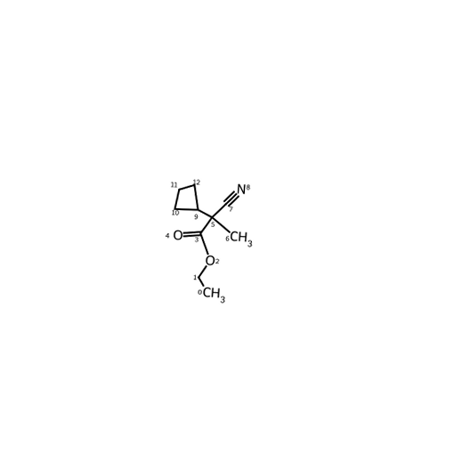 CCOC(=O)C(C)(C#N)C1CCC1